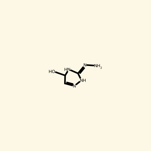 N/N=C1\NN=CC(O)N1